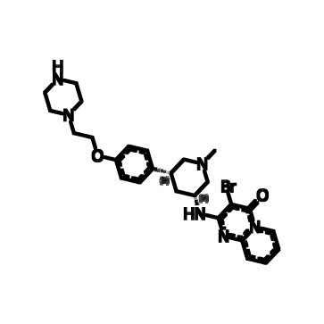 CN1C[C@H](Nc2nc3ccccn3c(=O)c2Br)C[C@H](c2ccc(OCCN3CCNCC3)cc2)C1